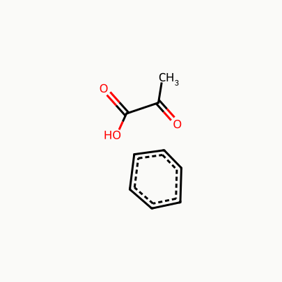 CC(=O)C(=O)O.c1ccccc1